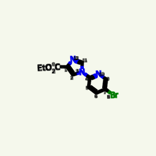 CCOC(=O)c1cn(-c2ccc(Br)cn2)cn1